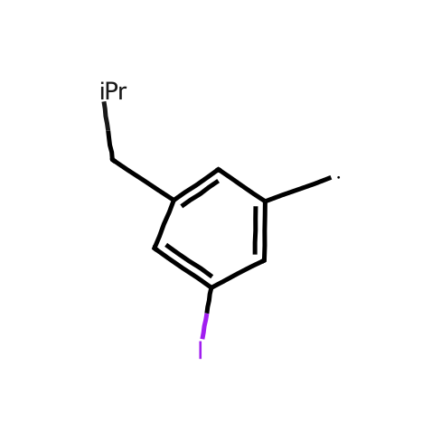 [CH2]c1cc(I)cc(CC(C)C)c1